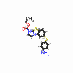 CCOC(=O)N1C=CN2c3cc(Sc4ccc(N)cc4)ccc3SC12